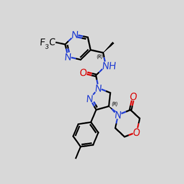 Cc1ccc(C2=NN(C(=O)N[C@H](C)c3cnc(C(F)(F)F)nc3)C[C@H]2N2CCOCC2=O)cc1